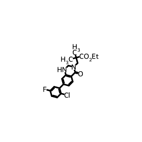 CCOC(=O)C(C)(C)CN1CNc2cc(-c3cc(F)ccc3Cl)ccc2C1=O